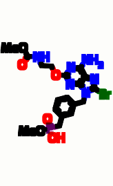 COC(=O)NCCOc1nc(N)c2nc(Br)n(Cc3cccc(CP(=O)(O)OC)c3)c2n1